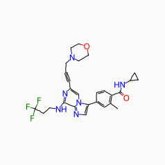 Cc1cc(-c2cnc3c(NCCC(F)(F)F)nc(C#CCN4CCOCC4)cn23)ccc1C(=O)NC1CC1